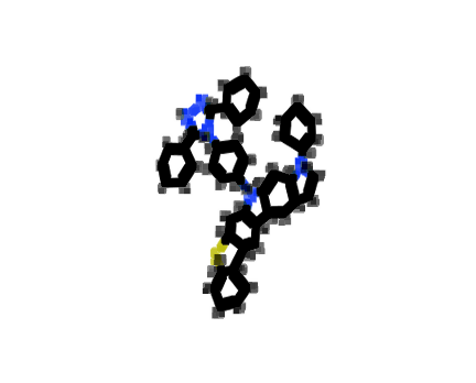 c1ccc(-c2nnc(-c3ccccc3)n2-c2ccc(-n3c4cc5sc6ccccc6c5cc4c4cc5ccn(-c6ccccc6)c5cc43)cc2)cc1